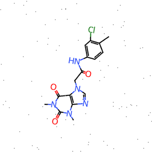 Cc1ccc(NC(=O)Cn2cnc3c2c(=O)n(C)c(=O)n3C)cc1Cl